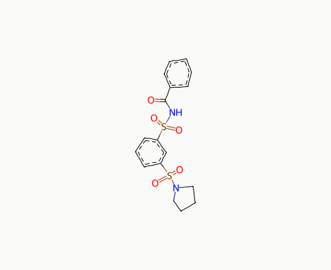 O=C(NS(=O)(=O)c1cccc(S(=O)(=O)N2CCCC2)c1)c1ccccc1